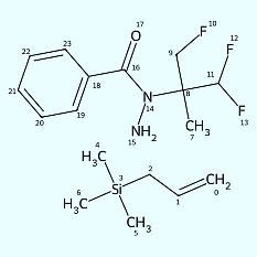 C=CC[Si](C)(C)C.CC(CF)(C(F)F)N(N)C(=O)c1ccccc1